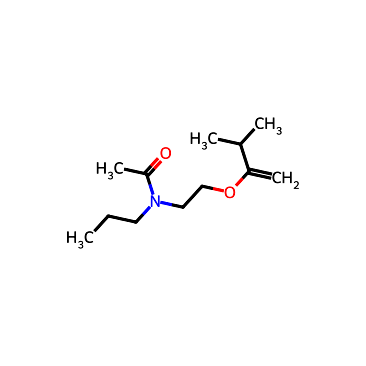 C=C(OCCN(CCC)C(C)=O)C(C)C